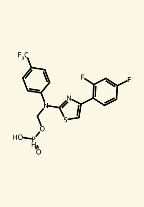 O=[PH](O)OCN(c1ccc(C(F)(F)F)cc1)c1nc(-c2ccc(F)cc2F)cs1